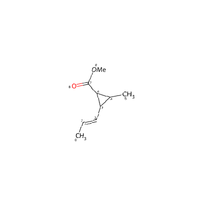 CC=CC1C(C)C1C(=O)OC